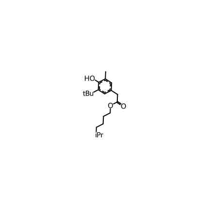 Cc1cc(CC(=O)OCCCCC(C)C)cc(C(C)(C)C)c1O